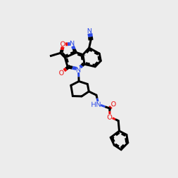 Cc1onc2c1c(=O)n(C1CCCC(CNC(=O)OCc3ccccc3)C1)c1cccc(C#N)c21